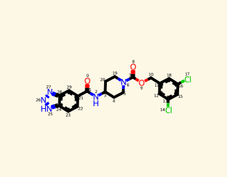 O=C(NC1CCN(C(=O)OCc2cc(Cl)cc(Cl)c2)CC1)c1ccc2[nH]nnc2c1